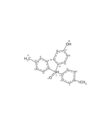 Cc1ccc([SH](=O)(c2ccc(C)cc2)c2ccc(O)cc2)cc1